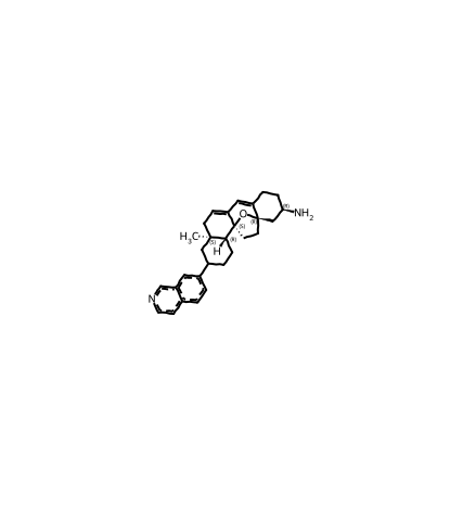 C[C@]12CC=C3C=C4CC[C@@H](N)C[C@]45CC[C@]3(O5)[C@@H]1CCC(c1ccc3ccncc3c1)C2